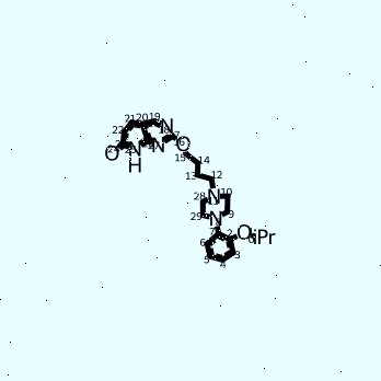 CC(C)Oc1ccccc1N1CCN(CCCCOc2ncc3ccc(=O)[nH]c3n2)CC1